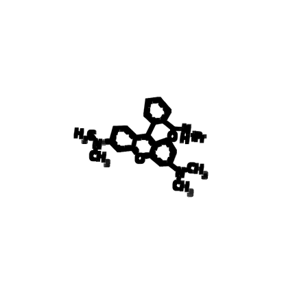 CC(C)NC(=O)c1ccccc1-c1c2ccc(=[N+](C)C)cc-2oc2cc(N(C)C)ccc12